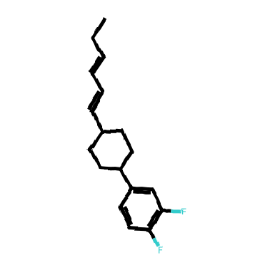 CCC=CC=CC1CCC(c2ccc(F)c(F)c2)CC1